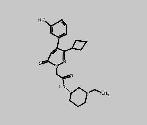 CCN1CCC[C@H](NC(=O)Cn2nc(C3CCC3)c(-c3cccc(C)c3)cc2=O)C1